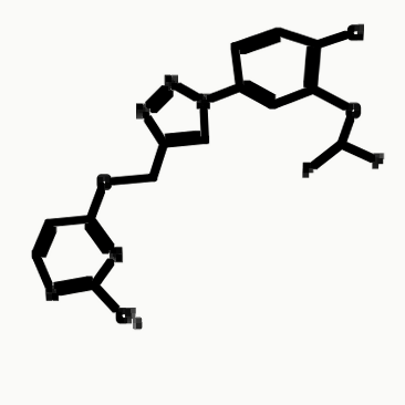 FC(F)Oc1cc(-n2cc(COc3ccnc(C(F)(F)F)n3)nn2)ccc1Cl